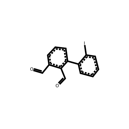 O=Cc1cccc(-c2ccccc2I)c1C=O